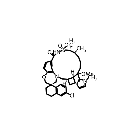 CO[C@]1(c2nccn2C)CCC[C@H](C)[C@@H](C)S(=O)(=O)NC(=O)c2ccc3c(c2)N(C[C@@H]2CC[C@H]21)C[C@@]1(CCCc2cc(Cl)ccc21)CO3